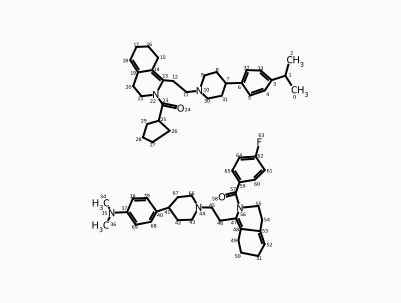 CC(C)c1ccc(C2CCN(CCC3=C4CCCC=C4CCN3C(=O)C3CCCC3)CC2)cc1.CN(C)c1ccc(C2CCN(CCC3=C4CCCC=C4CCN3C(=O)c3ccc(F)cc3)CC2)cc1